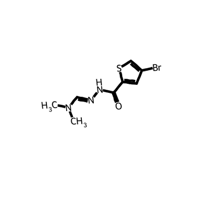 CN(C)C=NNC(=O)c1cc(Br)cs1